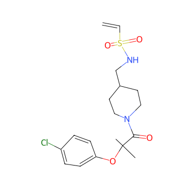 C=CS(=O)(=O)NCC1CCN(C(=O)C(C)(C)Oc2ccc(Cl)cc2)CC1